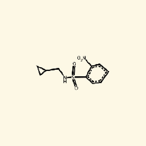 O=[N+]([O-])c1ccccc1S(=O)(=O)NCC1CC1